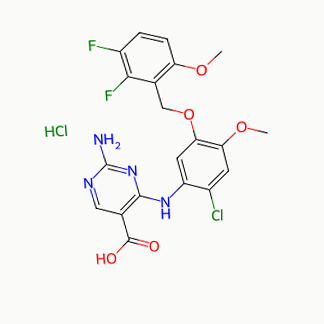 COc1cc(Cl)c(Nc2nc(N)ncc2C(=O)O)cc1OCc1c(OC)ccc(F)c1F.Cl